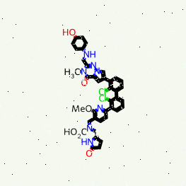 COc1nc(-c2cccc(-c3cccc(-c4cc5c(=O)n(C)c(CNC6CCC(O)CC6)nn5c4)c3Cl)c2Cl)ccc1CN(C[C@@H]1CCC(=O)N1)C(=O)O